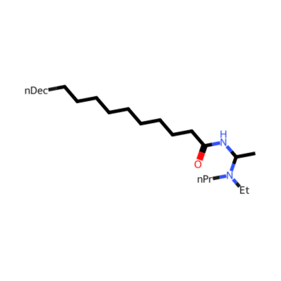 CCCCCCCCCCCCCCCCCCCC(=O)NC(C)N(CC)CCC